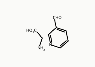 NCC(=O)O.O=Cc1cccnc1